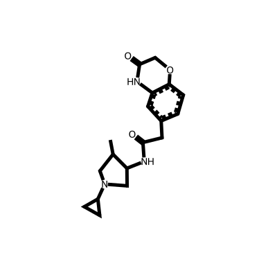 CC1CN(C2CC2)CC1NC(=O)Cc1ccc2c(c1)NC(=O)CO2